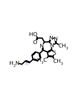 Cc1sc2c(c1C)C(c1ccc(/C=C/CN)cc1)=NC(CC(=O)O)c1nnc(C)n1-2